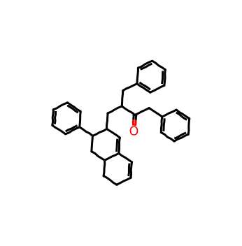 O=C(Cc1ccccc1)C(Cc1ccccc1)CC1C=C2C=CCCC2CC1c1ccccc1